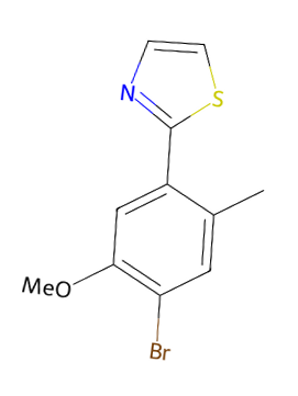 COc1cc(-c2nccs2)c(C)cc1Br